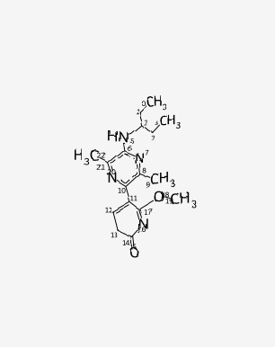 CCC(CC)Nc1nc(C)c(C2=CCC(=O)N=C2OC)nc1C